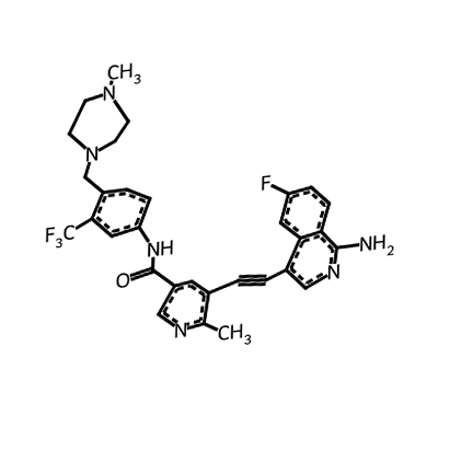 Cc1ncc(C(=O)Nc2ccc(CN3CCN(C)CC3)c(C(F)(F)F)c2)cc1C#Cc1cnc(N)c2ccc(F)cc12